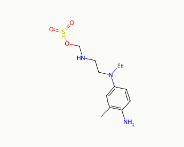 CCN(CCNCO[SH](=O)=O)c1ccc(N)c(C)c1